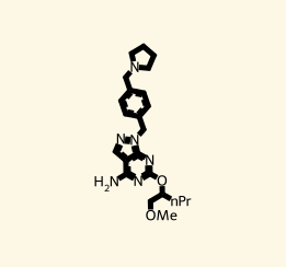 CCCC(COC)Oc1nc(N)c2cnn(Cc3ccc(CN4CCCC4)cc3)c2n1